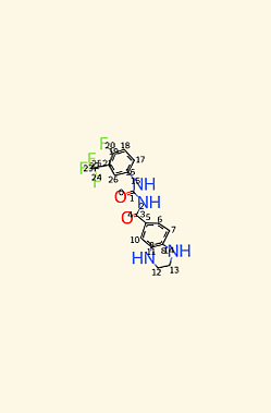 O=C(NC(=O)c1ccc2c(c1)NCCN2)Nc1ccc(F)c(C(F)(F)F)c1